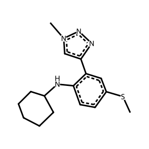 CSc1ccc(NC2CCCCC2)c(-c2cn(C)nn2)c1